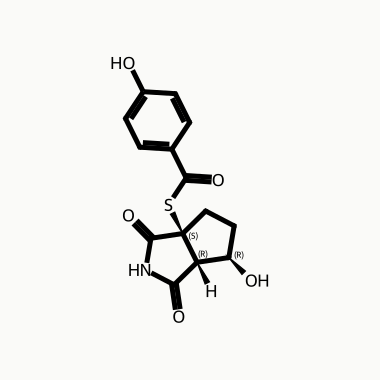 O=C(S[C@@]12CC[C@@H](O)[C@@H]1C(=O)NC2=O)c1ccc(O)cc1